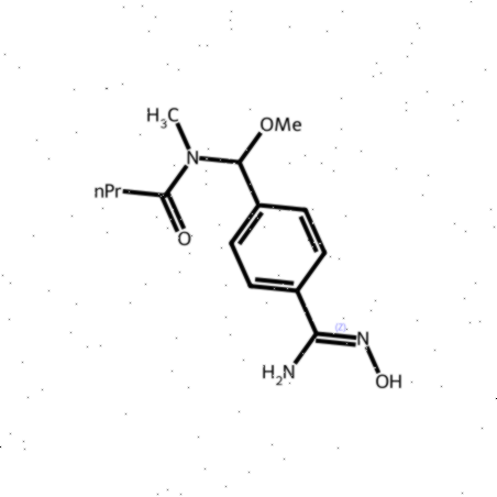 CCCC(=O)N(C)C(OC)c1ccc(/C(N)=N/O)cc1